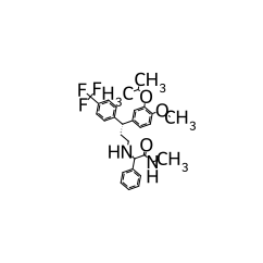 CNC(=O)[C@H](NCC[C@H](c1ccc(C(F)(F)F)cc1)c1ccc(OC)c(OC(C)C)c1)c1ccccc1